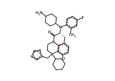 Cc1cc(F)ccc1N(C1CCC(N)CC1)[C@H](Cc1ccc(Cl)cc1)C(=O)N1CCC(Cn2cncn2)(C2CCCCC2)CC1